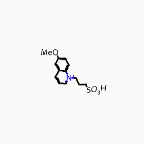 COc1ccc2c(ccc[n+]2CCCS(=O)(=O)O)c1